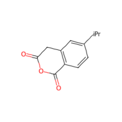 CC(C)c1ccc2c(c1)CC(=O)OC2=O